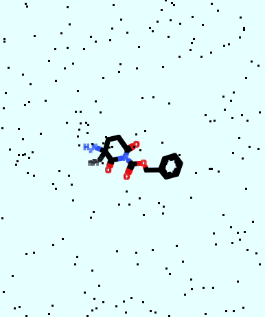 CCCC1(N)CCC(=O)N(C(=O)OCc2ccccc2)C1=O